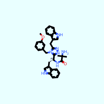 COc1cccc(Cn2c(Cc3c[nH]c4ccccc34)nnc2[C@@H](Cc2c[nH]c3ccccc23)NC(=O)C(C)(C)N)c1